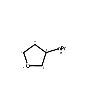 [CH2]CCC1CCOC1